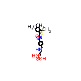 Cc1sc(-c2nc(-c3ccc(CNCCCP(=O)(O)O)cc3)no2)c2c1CC(C)(C)CC2